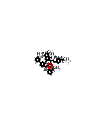 Cc1cc(C)c2c(c1)C(CCc1ccc(C(C)(C)C)cc1C)c1cc3c(cc1B2c1cc(-c2ccccc2)ccc1C(C)c1cccc2c1-c1ccccc1C2(C)C)C(C)(C)CC3(C)C